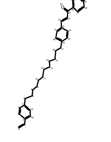 C=Cc1ccc(CCCCCCCCCCCCc2ccc(C=CC(=O)c3ccc(F)cc3)cc2)cc1